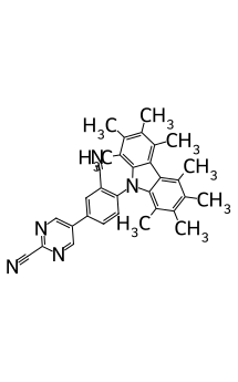 Cc1c(C)c(C)c2c(c1C)c1c(C)c(C)c(C)c(C)c1n2-c1ccc(-c2cnc(C#N)nc2)cc1C#N